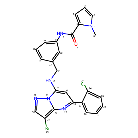 Cn1cccc1C(=O)Nc1cccc(CNc2cc(-c3ccccc3Cl)nc3c(Br)cnn23)c1